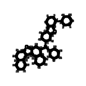 c1ccc(-c2cccc3c2oc2cc(N(c4ccccc4)c4cc5oc6ccc7ccccc7c6c5c5ccccc45)ccc23)cc1